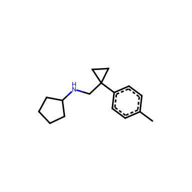 Cc1ccc(C2(CNC3CCCC3)CC2)cc1